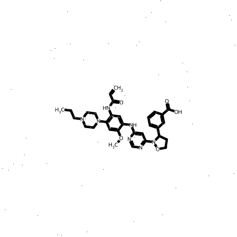 C=CC(=O)Nc1cc(Nc2cc(N3OCCC3c3cccc(C(=O)O)c3)ncn2)c(OC)cc1N1CCN(CCC)CC1